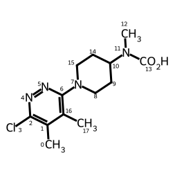 Cc1c(Cl)nnc(N2CCC(N(C)C(=O)O)CC2)c1C